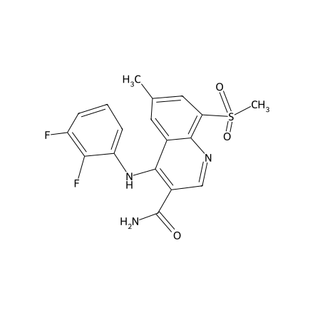 Cc1cc(S(C)(=O)=O)c2ncc(C(N)=O)c(Nc3cccc(F)c3F)c2c1